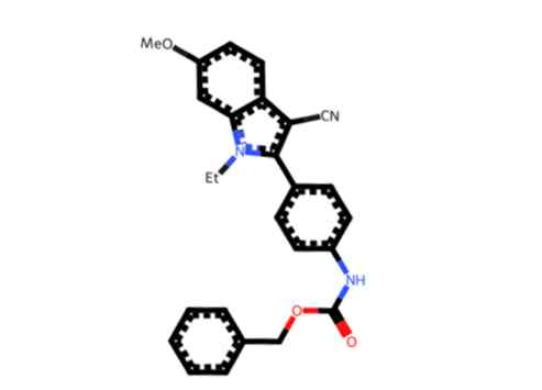 CCn1c(-c2ccc(NC(=O)OCc3ccccc3)cc2)c(C#N)c2ccc(OC)cc21